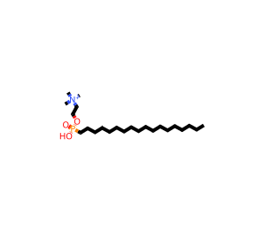 CCCCCCCCCCCCCC[CH]CCCP(=O)(O)OCC[N+](C)(C)C